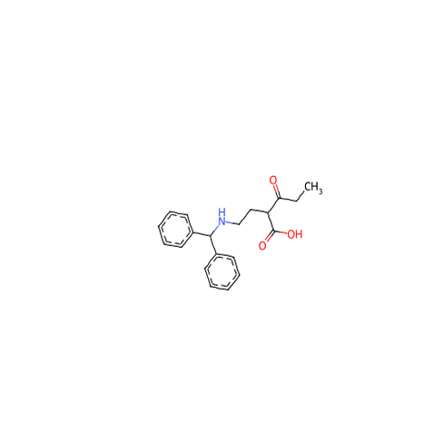 CCC(=O)C(CCNC(c1ccccc1)c1ccccc1)C(=O)O